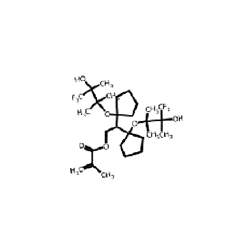 C=C(C)C(=O)OCC(C1(OC(C)(C)C(C)(O)C(F)(F)F)CCCC1)C1(OC(C)(C)C(C)(O)C(F)(F)F)CCCC1